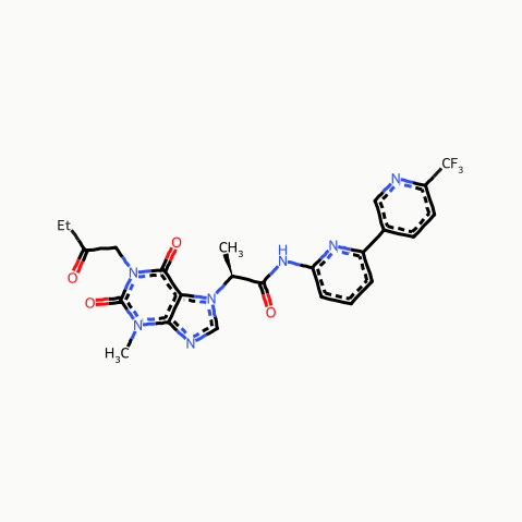 CCC(=O)Cn1c(=O)c2c(ncn2[C@@H](C)C(=O)Nc2cccc(-c3ccc(C(F)(F)F)nc3)n2)n(C)c1=O